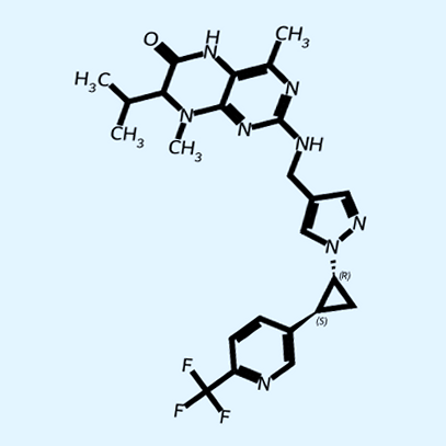 Cc1nc(NCc2cnn([C@@H]3C[C@H]3c3ccc(C(F)(F)F)nc3)c2)nc2c1NC(=O)C(C(C)C)N2C